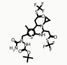 Cc1c(CN(NC(=O)OC(C)(C)C)C(N)=O)sc2c1C(CC(=O)SC(F)(F)F)N(C1CC1)C(CC(=O)SC(F)(F)F)N2